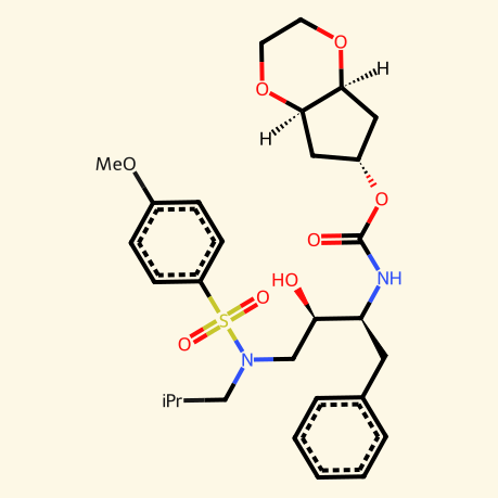 COc1ccc(S(=O)(=O)N(CC(C)C)C[C@@H](O)[C@H](Cc2ccccc2)NC(=O)O[C@H]2C[C@@H]3OCCO[C@@H]3C2)cc1